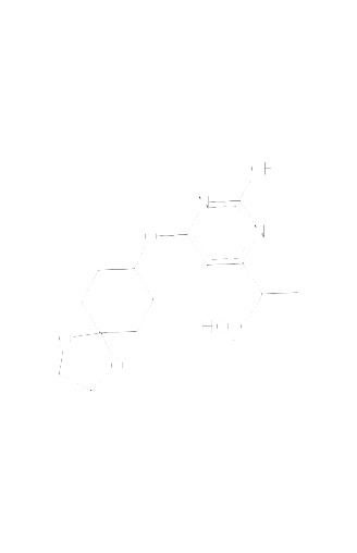 CC(C(=O)O)c1cc(OC2CCC3(CC2)OCCO3)nc(C(F)(F)F)n1